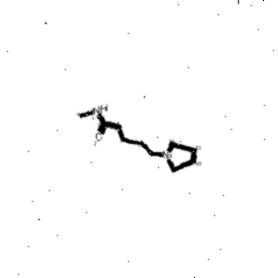 CNC(=O)CCCCN1CCCC1